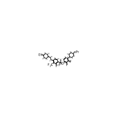 CCCC1CCC(c2ccc(OC(F)(F)c3ccc(CCC4CCC(CC)CC4)c(C(F)(F)F)c3F)c(F)c2F)CC1